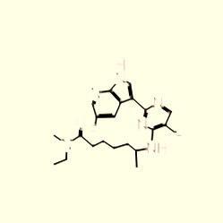 CCN(C)C(=O)CCCCC(C)Nc1nc(-c2c[nH]c3ncc(F)cc23)ncc1F